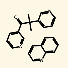 CC(C)(C(=O)c1cccnc1)c1cccnc1.c1ccc2ncccc2c1